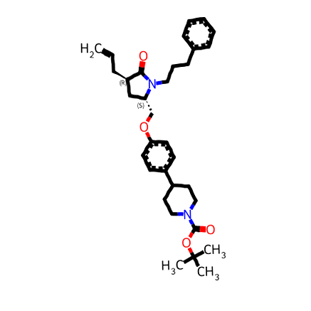 C=CC[C@@H]1C[C@@H](COc2ccc(C3CCN(C(=O)OC(C)(C)C)CC3)cc2)N(CCCc2ccccc2)C1=O